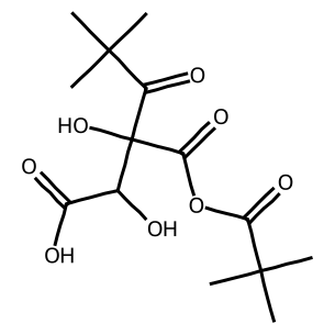 CC(C)(C)C(=O)OC(=O)C(O)(C(=O)C(C)(C)C)C(O)C(=O)O